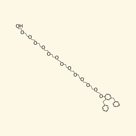 OCCOCCOCCOCCOCCOCCOCCOCCOCCOCCOCCOCCOCCOc1ccc(Cc2ccccc2)cc1Cc1ccccc1